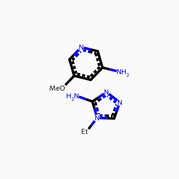 CCn1cnnc1N.COc1cncc(N)c1